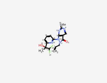 C=CCn1c(=O)c2cnc(SC)nc2n1-c1cccc(C(C)(O)C(F)F)n1